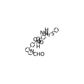 O=Cc1ccc2cccc(-c3ccc(C(=O)NS(=O)(=O)c4ccc(NCCSc5ccccc5)c([N+](=O)[O-])c4)cc3)c2n1